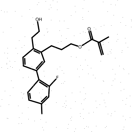 C=C(C)C(=O)OCCCc1cc(-c2ccc(C)cc2F)ccc1CCO